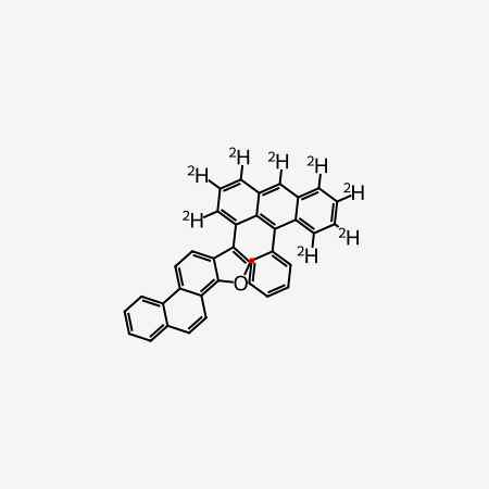 [2H]c1c([2H])c([2H])c2c(-c3ccccc3)c3c(-c4coc5c4ccc4c6ccccc6ccc45)c([2H])c([2H])c([2H])c3c([2H])c2c1[2H]